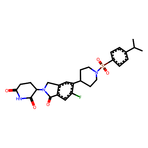 CC(C)c1ccc(S(=O)(=O)N2CCC(c3cc4c(cc3F)C(=O)N(C3CCC(=O)NC3=O)C4)CC2)cc1